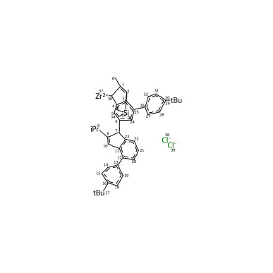 CC1=C2c3c(cc(C4C(C(C)C)=Cc5c(-c6ccc(C(C)(C)C)cc6)cccc54)c(c3-c3ccc(C(C)(C)C)cc3)[Si]2(C)C)[CH]1[Zr+2].[Cl-].[Cl-]